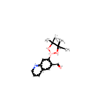 CC1(C)OB(c2cc3ncccc3cc2C=O)OC1(C)C